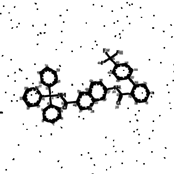 O=C(NC(c1ccccc1)(c1ccccc1)c1ccccn1)c1cnc2cc(NC(=O)c3ccccc3-c3ccc(C(F)(F)F)cc3)ccc2c1